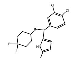 Cc1cnc(C(NC2CCC(F)(F)CC2)c2ccc(Cl)c(Cl)c2)[nH]1